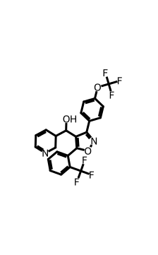 OC(c1c(-c2ccc(OC(F)(F)F)cc2)noc1-c1ccccc1C(F)(F)F)C1C=CC=NC1